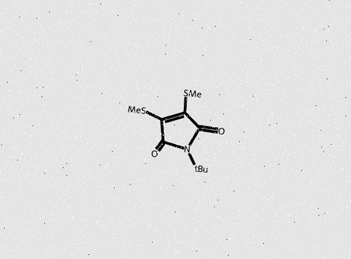 CSC1=C(SC)C(=O)N(C(C)(C)C)C1=O